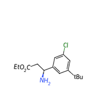 CCOC(=O)C[C@H](N)c1cc(Cl)cc(C(C)(C)C)c1